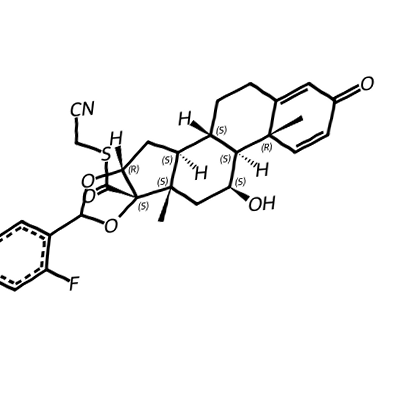 C[C@]12C=CC(=O)C=C1CC[C@@H]1[C@@H]2[C@@H](O)C[C@@]2(C)[C@H]1C[C@H]1OC(c3ccccc3F)O[C@]12C(=O)SCC#N